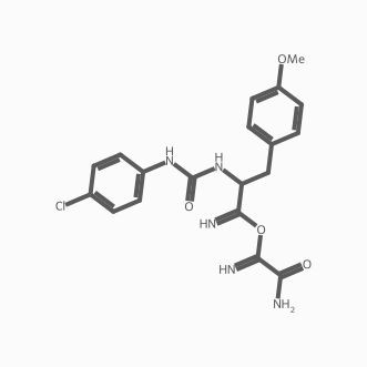 COc1ccc(CC(NC(=O)Nc2ccc(Cl)cc2)C(=N)OC(=N)C(N)=O)cc1